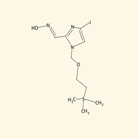 CS(C)(C)CCOCn1cc(I)nc1/C=N/O